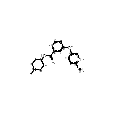 CN1CCC(NC(=O)c2cc(Oc3ccc(N)nc3)ccn2)CC1